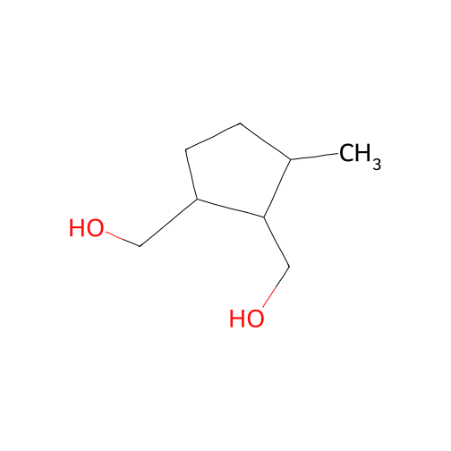 CC1CCC(CO)C1CO